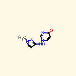 Cn1ccc(Nn2ccc(=O)nc2)n1